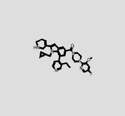 CCc1cnccc1-c1cc(C(=O)N2CCN(c3ncc(F)cc3OC)CC2)cc2cc(C3=CCCNC3)n(CC3CC3)c12